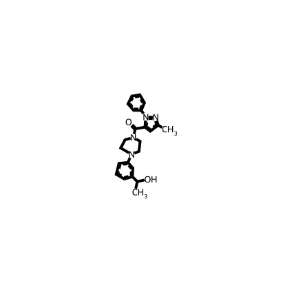 Cc1cc(C(=O)N2CCN(c3cccc(C(C)O)c3)CC2)n(-c2ccccc2)n1